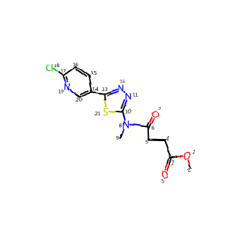 COC(=O)CCC(=O)N(C)c1nnc(-c2ccc(Cl)nc2)s1